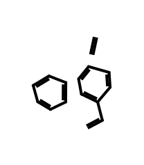 C=C.C=Cc1ccccc1.c1ccccc1